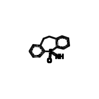 N=S1(=O)c2ccccc2CCc2ccccc21